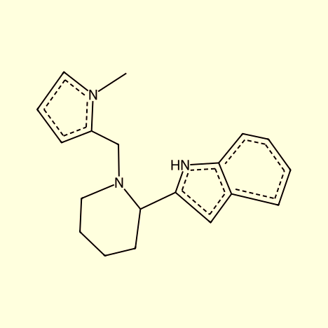 Cn1cccc1CN1CCCCC1c1cc2ccccc2[nH]1